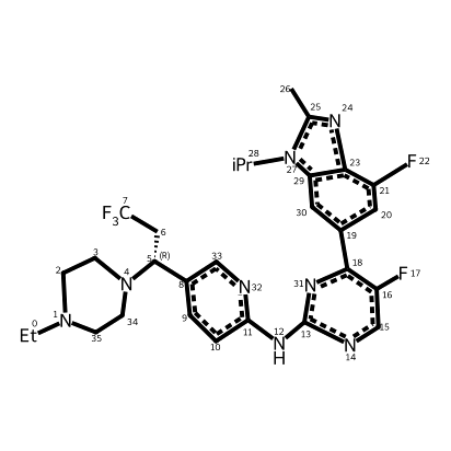 CCN1CCN([C@H](CC(F)(F)F)c2ccc(Nc3ncc(F)c(-c4cc(F)c5nc(C)n(C(C)C)c5c4)n3)nc2)CC1